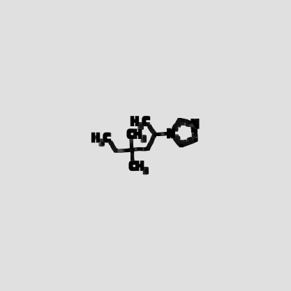 CCC(C)(C)CC(C)n1ccnc1